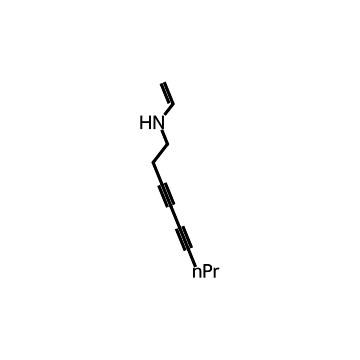 C=CNCCC#CC#CCCC